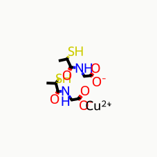 CC(S)C(=O)NCC(=O)[O-].CC(S)C(=O)NCC(=O)[O-].[Cu+2]